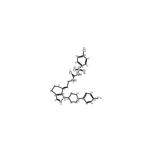 O=C(NC/C=C1\CCCc2cnn(C3CCN(c4ccc(F)cc4)CC3)c21)NS(=O)(=O)c1ccc(Cl)cc1